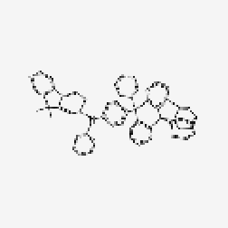 CC1(C)C2=CC(N(c3ccccc3)c3ccc(C4(c5ccccc5)c5ccccc5C5(c6ccccc6)c6c(cccc64)C4=CC=CCC45)cc3)CC=C2c2ccccc21